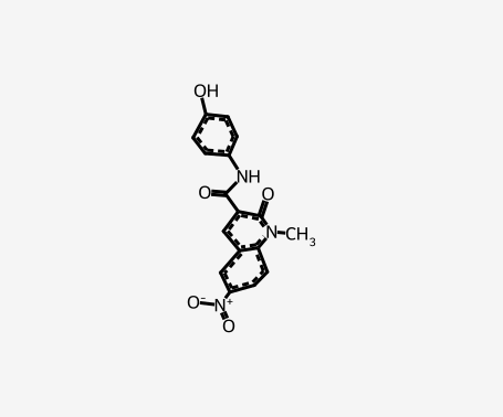 Cn1c(=O)c(C(=O)Nc2ccc(O)cc2)cc2cc([N+](=O)[O-])ccc21